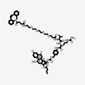 CCCC1O[C@@H]2C[C@H]3[C@@H]4C[C@H](F)C5=CC(=O)C=C[C@]5(C)[C@@]4(F)[C@@H](O)C[C@]3(C)[C@]2(C(=O)COC(=O)OCc2ccc(NC(=O)[C@H](CCCNC(N)=O)NC(=O)[C@@H](NC(=O)CCOCCOCCOCCOCCNC(=O)CCC(=O)N3Cc4ccccc4C#Cc4ccccc43)C(C)C)cc2)O1